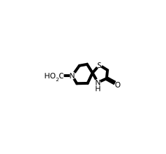 O=C1CSC2(CCN(C(=O)O)CC2)N1